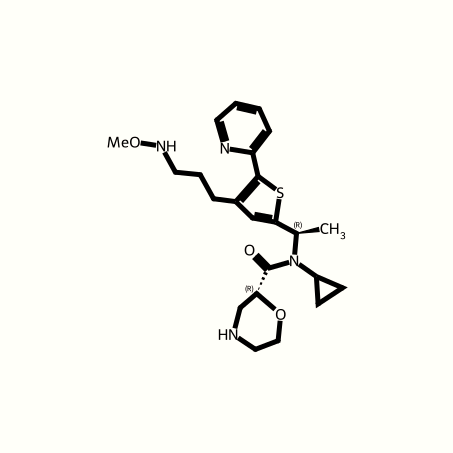 CONCCCc1cc([C@@H](C)N(C(=O)[C@H]2CNCCO2)C2CC2)sc1-c1ccccn1